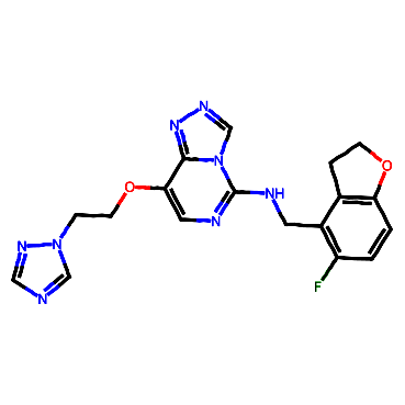 Fc1ccc2c(c1CNc1ncc(OCCn3cncn3)c3nncn13)CCO2